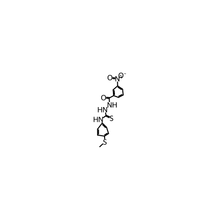 CSc1ccc(NC(=S)NNC(=O)c2cccc([N+](=O)[O-])c2)cc1